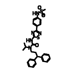 CC(C)N(CCC(c1ccccc1)c1ccccc1)C(=O)Nc1nc(-c2ccc(NS(C)(=O)=O)cc2)ns1